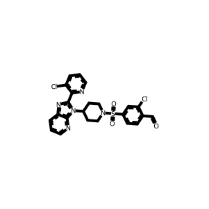 O=Cc1ccc(S(=O)(=O)N2CCC(n3c(-c4ncccc4Cl)nc4cccnc43)CC2)cc1Cl